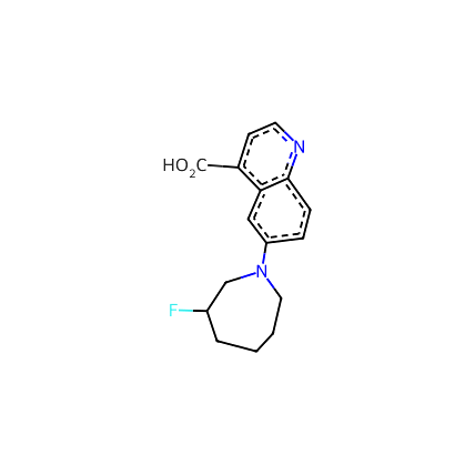 O=C(O)c1ccnc2ccc(N3CCCCC(F)C3)cc12